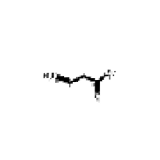 C=CCC(=O)[CH]C